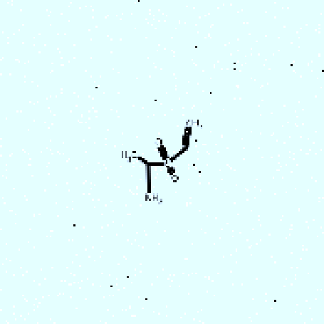 C=CS(=O)(=O)C(C)N